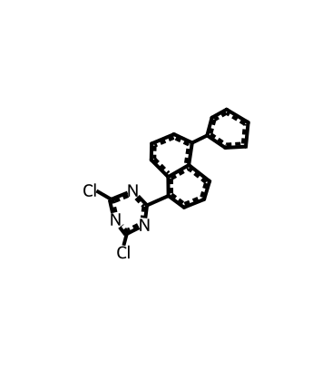 Clc1nc(Cl)nc(-c2cccc3c(-c4ccccc4)cccc23)n1